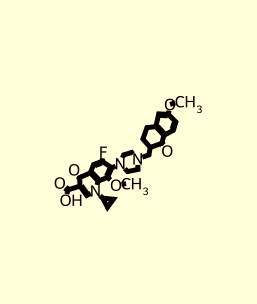 COc1ccc2c(c1)CCC(CN1CCN(c3c(F)cc4c(=O)c(C(=O)O)cn(C5CC5)c4c3OC)CC1)C2=O